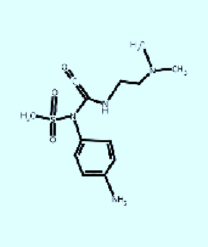 CN(C)CCNC(=C=O)N(c1ccc(N)cc1)S(C)(=O)=O